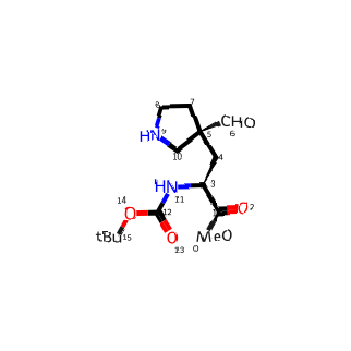 COC(=O)[C@H](C[C@@]1(C=O)CCNC1)NC(=O)OC(C)(C)C